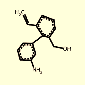 C=Cc1cccc(CO)c1-c1cccc(N)c1